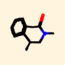 C[C@@H]1CN(C)C(=O)c2ccccc21